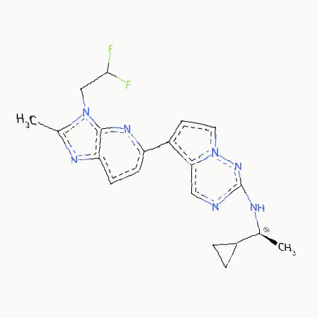 Cc1nc2ccc(-c3ccn4nc(N[C@@H](C)C5CC5)ncc34)nc2n1CC(F)F